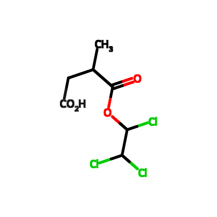 CC(CC(=O)O)C(=O)OC(Cl)C(Cl)Cl